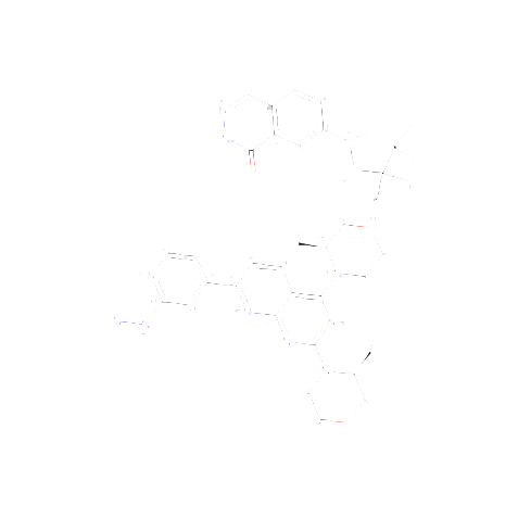 CC1(C)OB(c2ccc3cn[nH]c(=O)c3c2)OC1(C)C.C[C@H]1COCCN1c1nc(N2CCOC[C@@H]2C)c2ccc(-c3ccnc(NN)c3)nc2n1